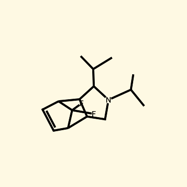 CC(C)C1C2C(CN1C(C)C)C1C=CC2C1(F)F